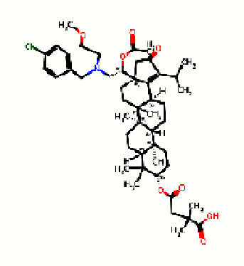 COCCN(Cc1ccc(Cl)cc1)C[C@H](OC(C)=O)[C@@]12CC[C@]3(C)[C@H](CC[C@@H]4[C@@]5(C)CC[C@H](OC(=O)CC(C)(C)C(=O)O)C(C)(C)[C@@H]5CC[C@]43C)C1=C(C(C)C)C(=O)C2